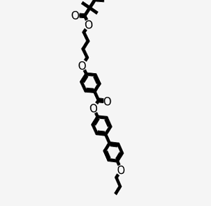 CCCOc1ccc(-c2ccc(OC(=O)c3ccc(OCCCCOC(=O)C(C)(C)CC)cc3)cc2)cc1